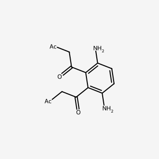 CC(=O)CC(=O)c1c(N)ccc(N)c1C(=O)CC(C)=O